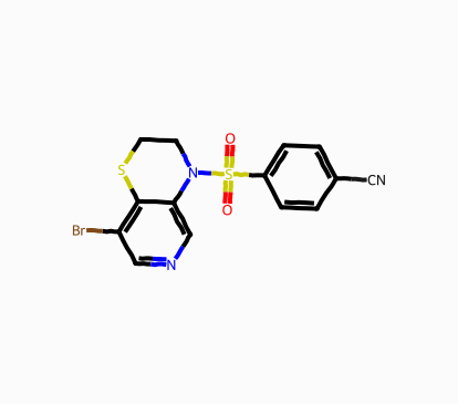 N#Cc1ccc(S(=O)(=O)N2CCSc3c(Br)cncc32)cc1